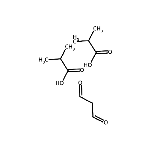 CC(C)C(=O)O.CC(C)C(=O)O.O=CCC=O